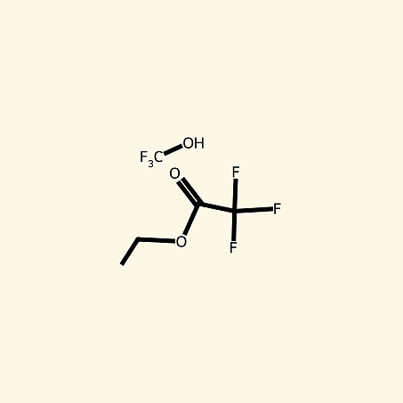 CCOC(=O)C(F)(F)F.OC(F)(F)F